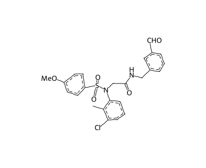 COc1ccc(S(=O)(=O)N(CC(=O)NCc2cccc(C=O)c2)c2cccc(Cl)c2C)cc1